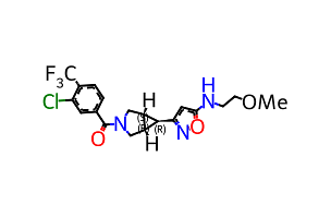 COCCNc1cc([C@H]2[C@@H]3CN(C(=O)c4ccc(C(F)(F)F)c(Cl)c4)C[C@@H]32)no1